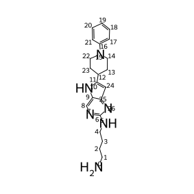 NCCCCNc1ncc2[nH]c(C3CCN(c4ccccc4)CC3)cc2n1